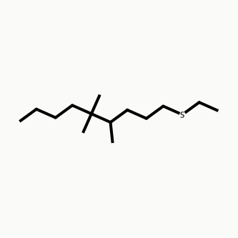 CCCCC(C)(C)C(C)CCCSCC